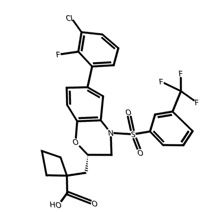 O=C(O)C1(C[C@H]2CN(S(=O)(=O)c3cccc(C(F)(F)F)c3)c3cc(-c4cccc(Cl)c4F)ccc3O2)CCC1